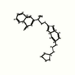 C=C1C=C(C(O)CCC2=CC3C=C(CCCC4CCCC4)C=CC3=C2)C=C2C=CC=CC12